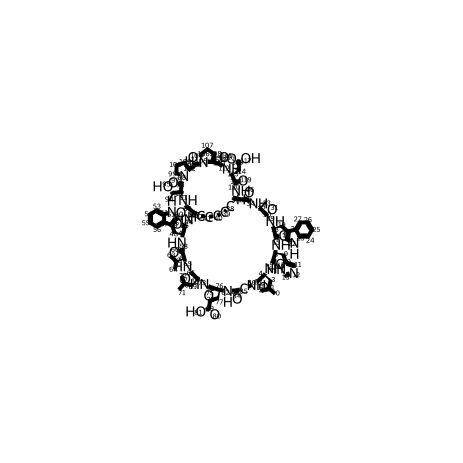 CC(C)C[C@@H]1NC(=O)[C@H](Cc2cnc[nH]2)NC(=O)[C@H](Cc2c[nH]c3ccccc23)NC(=O)[C@H](C)NC(=O)[C@H]2CCCCC[C@H](NC(=O)[C@H](Cc3c[nH]c4ccccc34)NC(=O)[C@H](C(C)C)NC(=O)[C@H](CC(C)C)NC(=O)[C@H](CCC(=O)O)NC(=O)CNC1=O)C(=O)N[C@@H]([C@@H](C)O)C(=O)N1CCC[C@@H]1C(=O)N1CCC[C@H]1C(=O)N[C@@H](CC(=O)O)C(=O)N2